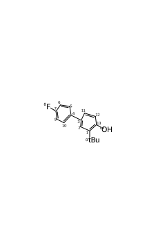 CC(C)(C)c1cc(-c2ccc(F)cc2)ccc1O